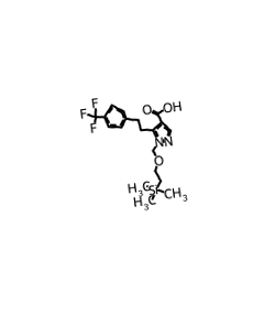 C[Si](C)(C)CCOCn1ncc(C(=O)O)c1CCc1ccc(C(F)(F)F)cc1